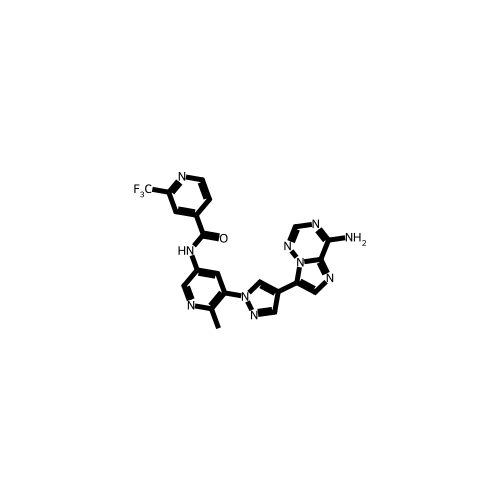 Cc1ncc(NC(=O)c2ccnc(C(F)(F)F)c2)cc1-n1cc(-c2cnc3c(N)ncnn23)cn1